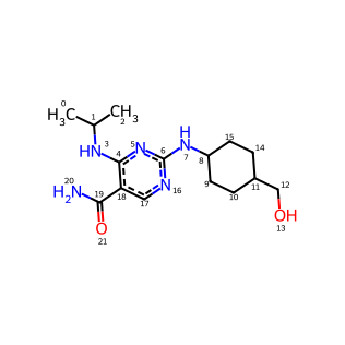 CC(C)Nc1nc(NC2CCC(CO)CC2)ncc1C(N)=O